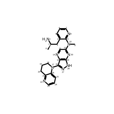 C[C@@H](N)Cc1cccnc1N(C)c1cnc2c(N3CCCc4ncccc43)n[nH]c2n1